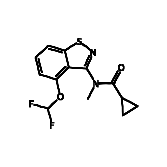 CN(C(=O)C1CC1)c1nsc2cccc(OC(F)F)c12